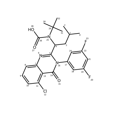 CC(C)CC(c1nc2cccc(Cl)c2c(=O)n1-c1cc(F)cc(F)c1)N(C(=O)O)C(C)(C)C